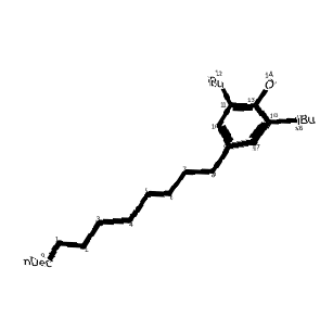 CCCCCCCCCCCCCCCCCCc1cc(C(C)CC)c([O])c(C(C)CC)c1